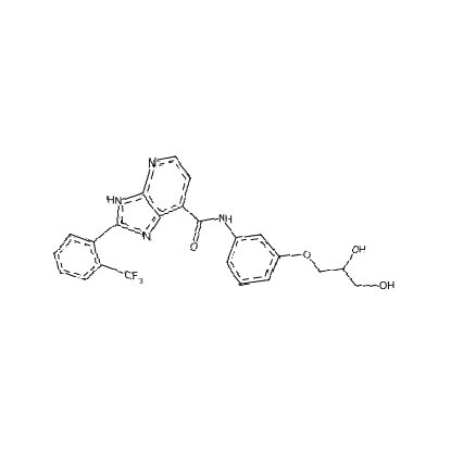 O=C(Nc1cccc(OCC(O)CO)c1)c1ccnc2[nH]c(-c3ccccc3C(F)(F)F)nc12